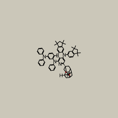 CC1(C)CC(C)(C)c2cc(N3c4cc5c(cc4B4c6ccc(N(c7ccccc7)c7ccccc7)cc6N(c6ccccc6)c6nc([C@]78CC9C%10CC%11C[C@@H]9C(C7)[C@@H](C%11)C%10C8)cc3c64)C(C)(C)CC5(C)C)ccc21